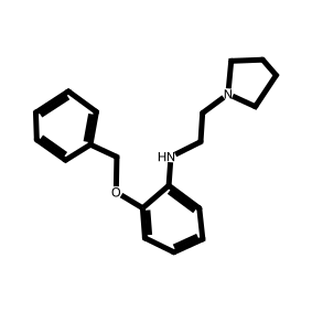 c1ccc(COc2ccccc2NCCN2CCCC2)cc1